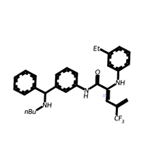 C=C(/C=C(\Nc1cccc(CC)c1)C(=O)Nc1cccc(C(NCCCC)c2ccccc2)c1)C(F)(F)F